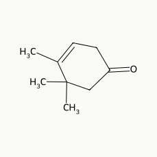 CC1=CCC(=O)CC1(C)C